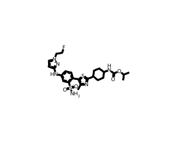 Cc1nc(C2CCC(NC(=O)OC(C)C)CC2)sc1-c1ccc(Nc2ccn(CCF)n2)cc1S(N)(=O)=O